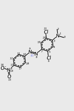 CN(C)c1cc(Cl)c(/N=N/c2ccc([N+](=O)[O-])cc2)cc1Cl